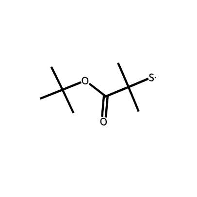 CC(C)(C)OC(=O)C(C)(C)[S]